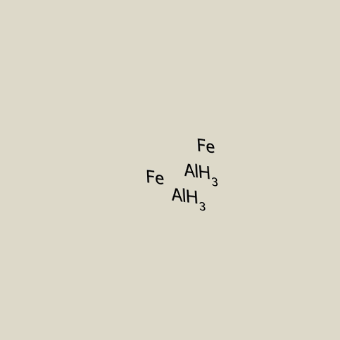 [AlH3].[AlH3].[Fe].[Fe]